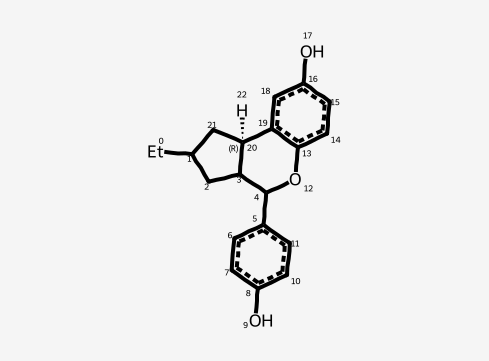 CCC1CC2C(c3ccc(O)cc3)Oc3ccc(O)cc3[C@@H]2C1